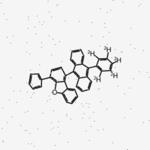 [2H]c1c([2H])c([2H])c(-c2c3ccccc3c(-c3ccc(-c4ccccc4)c4oc5ccccc5c34)c3ccccc23)c([2H])c1[2H]